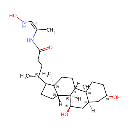 C/C(=C/NO)NC(=O)CC[C@@H](C)C1CC[C@H]2[C@@H]3[C@H](O)C[C@@H]4C[C@H](O)CC[C@]4(C)[C@H]3CC[C@]12C